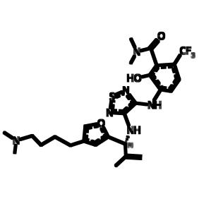 C=C(C)[C@@H](Nc1nsnc1Nc1ccc(C(F)(F)F)c(C(=O)N(C)C)c1O)c1cc(CCCCN(C)C)co1